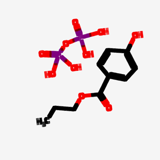 CCCOC(=O)c1ccc(O)cc1.O=P(O)(O)OP(=O)(O)O